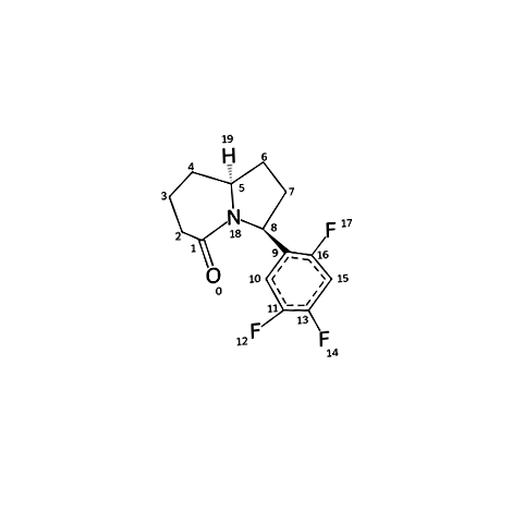 O=C1CCC[C@H]2CC[C@@H](c3cc(F)c(F)cc3F)N12